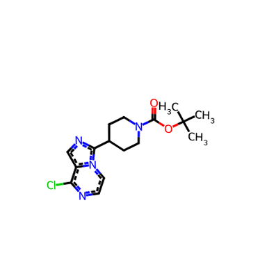 CC(C)(C)OC(=O)N1CCC(c2ncc3c(Cl)nccn23)CC1